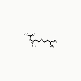 CC(=O)CN(C)CCOCCC(C)C